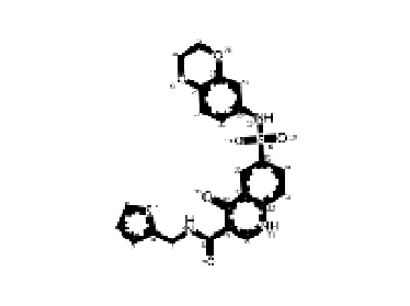 O=C(NCc1cccs1)c1c[nH]c2ccc(S(=O)(=O)Nc3ccc4c(c3)OCCO4)cc2c1=O